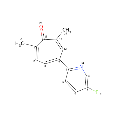 Cc1ccc(-c2ccc(F)cn2)cc(C)c1=O